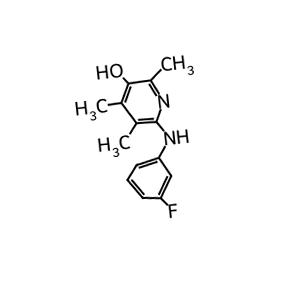 Cc1nc(Nc2cccc(F)c2)c(C)c(C)c1O